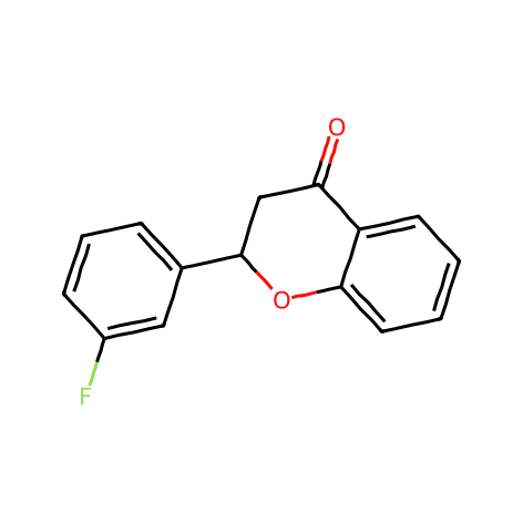 O=C1CC(c2cccc(F)c2)Oc2ccccc21